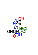 C[C@@H]1C[C@H](O)c2ncnc(N3CCN([C@@](C=O)(c4ccc(Cl)cc4)[C@@H]4COCCN4)CC3)c21.Cl.Cl